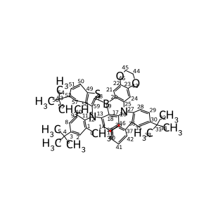 Cc1cc(C(C)(C)C)cc(C)c1N1c2cccc3c2B(c2cc4c(cc2N3c2ccc(C(C)(C)C)cc2-c2ccccc2)OCCO4)c2sc3ccc(C(C)(C)C)cc3c21